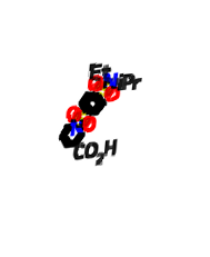 CCN(C(C)C)S(=O)(=O)c1ccc(S(=O)(=O)N2CCCC(C(=O)O)C2)cc1